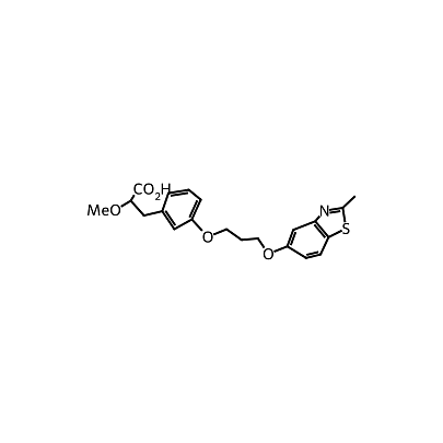 COC(Cc1cccc(OCCCOc2ccc3sc(C)nc3c2)c1)C(=O)O